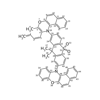 C=C/C=C\C1=C(C)Oc2ccc3ccccc3c2N1c1ccc2c(c1)C(C)(C)c1cc(N3c4ccccc4Oc4ccc5ccccc5c43)ccc1S2(=O)=O